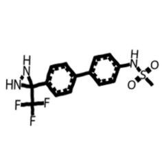 CS(=O)(=O)Nc1ccc(-c2ccc(C3(C(F)(F)F)NN3)cc2)cc1